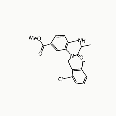 COC(=O)c1ccc2c(c1)N(Cc1c(F)cccc1Cl)C(=O)C(C)N2